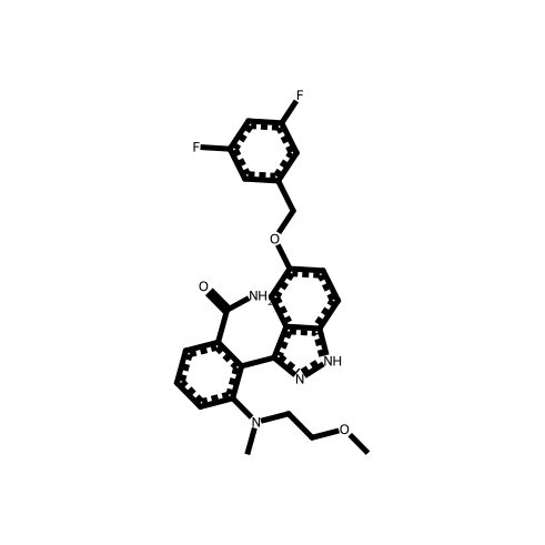 COCCN(C)c1cccc(C(N)=O)c1-c1n[nH]c2ccc(OCc3cc(F)cc(F)c3)cc12